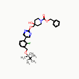 CC(C)(C)[Si](C)(C)OCc1cccc(-c2cnc(OCC3(O)CCN(C(=O)OCc4ccccc4)CC3)nc2)c1F